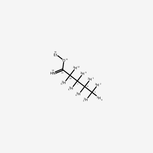 [2H]C([2H])([2H])C([2H])([2H])C([2H])([2H])C([2H])([2H])C(=N)OCC